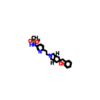 CS(=O)(=O)Nc1ccc(CCN2C[C@@H]3C[C@@](O)(Cc4ccccc4)C[C@@H]3C2)nc1